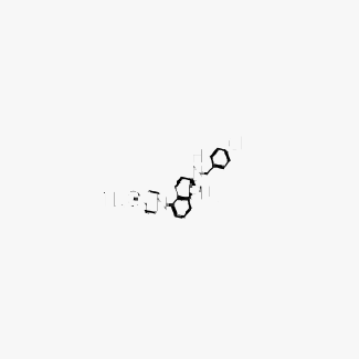 Cc1cccc(N2CCN(C)CC2)c1/C=C\C(=O)NCc1ccc(Cl)cc1